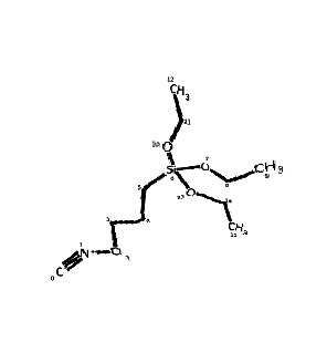 [C-]#[N+]OCCC[Si](OCC)(OCC)OCC